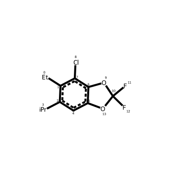 CCc1c(C(C)C)cc2c(c1Cl)OC(F)(F)O2